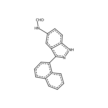 O=[C]Nc1ccc2[nH]nc(-c3cccc4ccccc34)c2c1